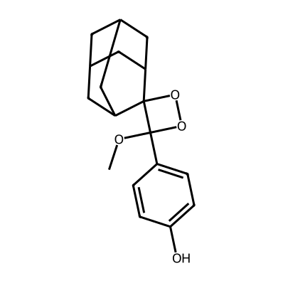 COC1(c2ccc(O)cc2)OOC12C1CC3CC(C1)CC2C3